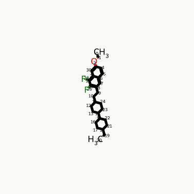 CCOc1ccc2cc(CCC3CCC(C4CCC(CC)CC4)CC3)c(F)c(F)c2c1